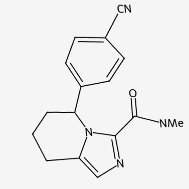 CNC(=O)c1ncc2n1C(c1ccc(C#N)cc1)CCC2